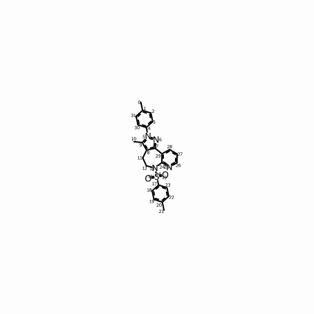 Cc1ccc(-n2nc3c(c2C)CCN(S(=O)(=O)c2ccc(C)cc2)c2ncccc2-3)cc1